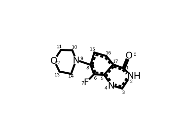 O=c1[nH]cnc2c(F)c(N3CCOCC3)ccc12